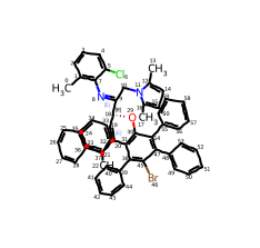 Cc1cccc(Cl)c1/N=C(\Cn1c(C)ccc1C)[C@@H](/C=C/C(C)c1ccccc1)Oc1c(-c2ccccc2)c(-c2ccccc2)c(Br)c(-c2ccccc2)c1-c1ccccc1